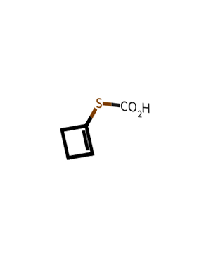 O=C(O)SC1=CCC1